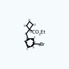 CCOC(=O)C1(Cc2cccc(Br)c2)CCC1